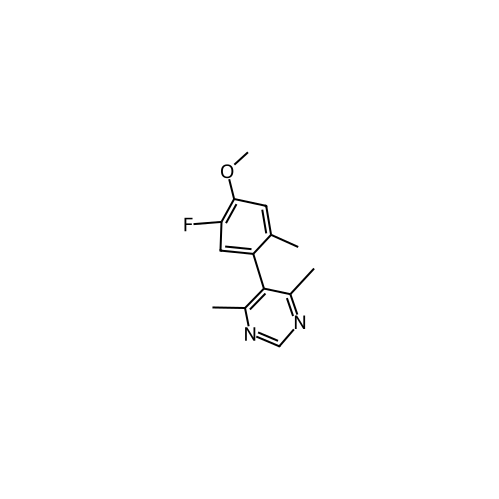 COc1cc(C)c(-c2c(C)ncnc2C)cc1F